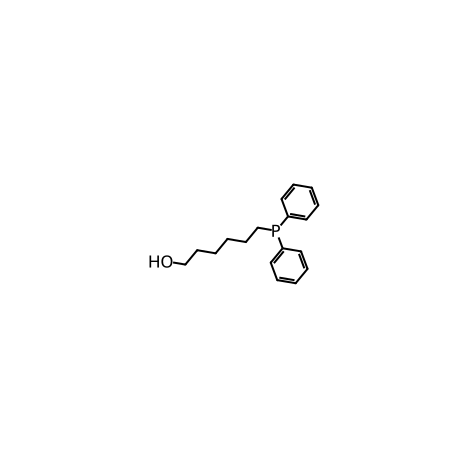 OCCCCCCP(c1ccccc1)c1ccccc1